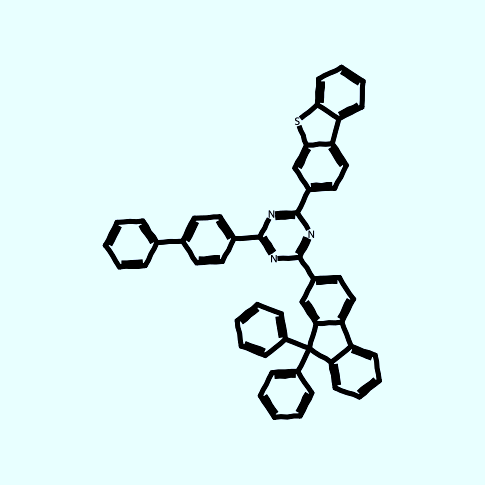 c1ccc(-c2ccc(-c3nc(-c4ccc5c(c4)C(c4ccccc4)(c4ccccc4)c4ccccc4-5)nc(-c4ccc5c(c4)sc4ccccc45)n3)cc2)cc1